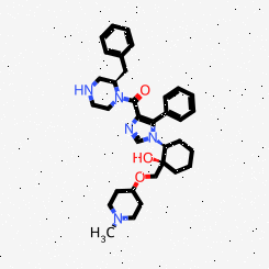 CN1CCC(OC[C@@]2(O)CCCC[C@@H]2n2cnc(C(=O)N3CCNC[C@H]3Cc3ccccc3)c2-c2ccccc2)CC1